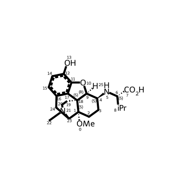 CO[C@@]12CC[C@H](N[C@H](C(=O)O)C(C)C)[C@@H]3Oc4c(O)ccc5c4[C@@]31CCN(C)C2C5